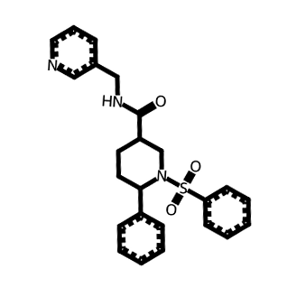 O=C(NCc1cccnc1)C1CCC(c2ccccc2)N(S(=O)(=O)c2ccccc2)C1